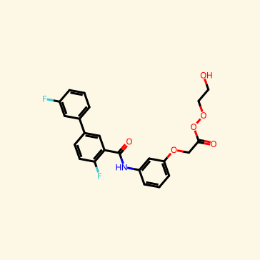 O=C(COc1cccc(NC(=O)c2cc(-c3cccc(F)c3)ccc2F)c1)OOCCO